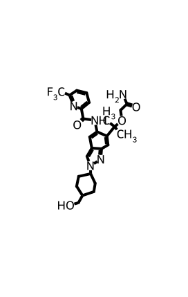 CC(C)(OCC(N)=O)c1cc2nn(C3CCC(CO)CC3)cc2cc1NC(=O)c1cccc(C(F)(F)F)n1